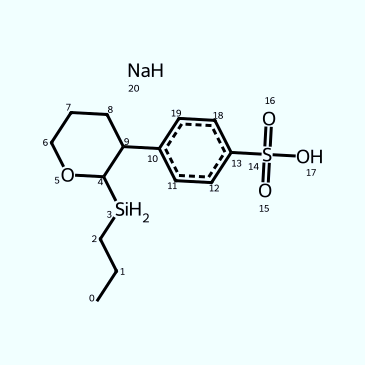 CCC[SiH2]C1OCCCC1c1ccc(S(=O)(=O)O)cc1.[NaH]